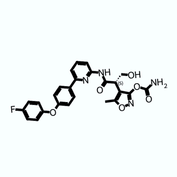 Cc1onc(OC(N)=O)c1[C@@H](CO)C(=O)Nc1cccc(-c2ccc(Oc3ccc(F)cc3)cc2)n1